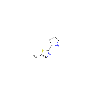 Cc1cnc(C2CCCN2)s1